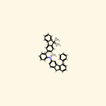 CN(c1ccc2c(c1)-c1c(cccc1-c1ccccc1)C2)c1ccccc1-c1ccc2c(c1)-c1ccccc1C2(C)C